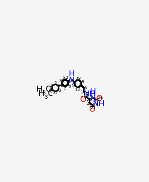 CC1(C)CCC(c2ccc(NC3CCC(CCNC(=O)C4CC(=O)NC(=O)N4)CC3)cc2)CC1